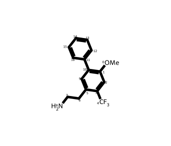 COc1cc(C(F)(F)F)c(CCN)cc1-c1ccccc1